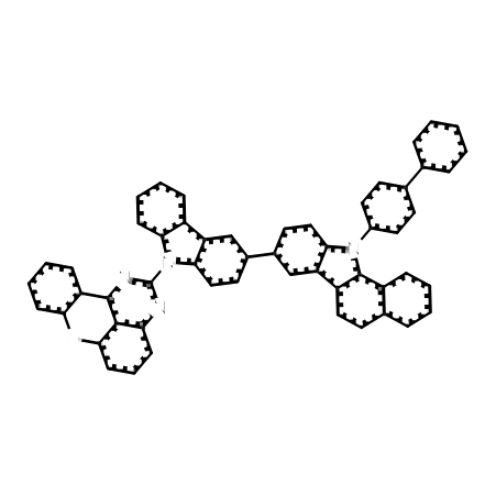 c1ccc(-c2ccc(-n3c4ccc(-c5ccc6c(c5)c5ccccc5n6-c5nc6c7c(cccc7n5)Oc5ccccc5-6)cc4c4ccc5ccccc5c43)cc2)cc1